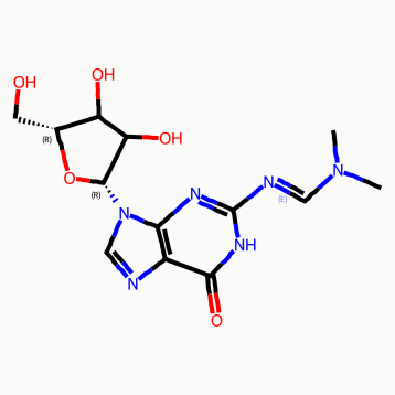 CN(C)/C=N/c1nc2c(ncn2[C@@H]2O[C@H](CO)C(O)C2O)c(=O)[nH]1